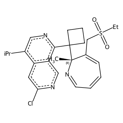 CCS(=O)(=O)CC1=CC=CC=N[C@]1(C)C1(c2ncc(C(C)C)c3cc(Cl)ncc23)CCC1